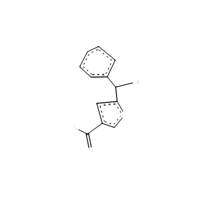 Cl.N=C(N)c1csc(C(N)c2ccccc2)c1